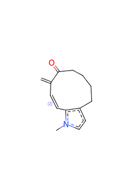 C=C1/C=C\c2c(ccn2C)CCCCC1=O